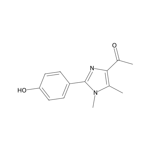 CC(=O)c1nc(-c2ccc(O)cc2)n(C)c1C